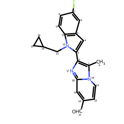 Cc1c(-c2cc3cc(F)ccc3n2CC2CC2)nc2cc(C=O)ccn12